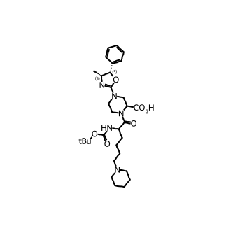 C[C@@H]1N=C(N2CCN(C(=O)C(CCCCN3CCCCC3)NC(=O)OC(C)(C)C)C(C(=O)O)C2)O[C@H]1c1ccccc1